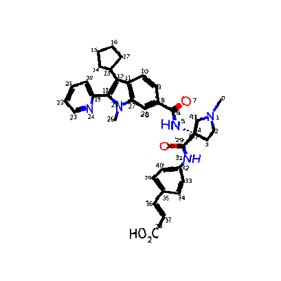 CN1CC[C@@](NC(=O)c2ccc3c(C4CCCC4)c(-c4ccccn4)n(C)c3c2)(C(=O)Nc2ccc(C=CC(=O)O)cc2)C1